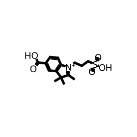 CC1=[N+](CCCS(=O)(=O)O)c2ccc(C(=O)O)cc2C1(C)C